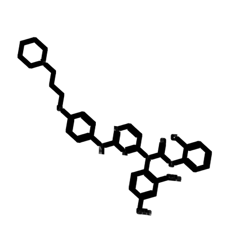 COc1ccc(N(C(=O)Oc2ccccc2Cl)c2ccnc(Nc3ccc(OCCCN4CCCCC4)cc3)n2)c(OC)c1